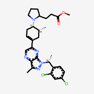 COC(=O)CCC1CCCN1[C@H]1CC=C(c2cnc3c(C)nn([C@H](C)c4ccc(Cl)cc4Cl)c3n2)C[C@H]1C